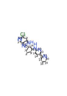 Clc1cc2[nH]c(-c3cccc(Nc4ccc(-c5ccccn5)cn4)c3)nc2cn1